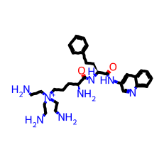 NCC[N+](CCN)(CCN)CCC[C@H](N)C(=O)N[C@@H](CCc1ccccc1)C(=O)Nc1cnc2ccccc2c1